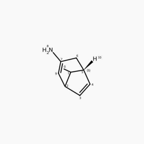 CC1C2C=C[C@H]1CC(N)=C2